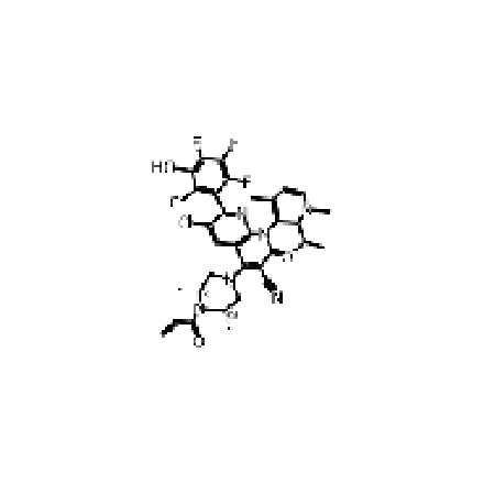 C=CC(=O)N1[C@H](C)CN(c2c(C#N)c(=O)n(C3=C(C)C=CN(C)C3C(C)C)c3nc(-c4c(F)c(F)c(F)c(O)c4Cl)c(Cl)cc23)C[C@@H]1C